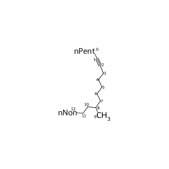 [CH2]CCCCC#CCCCCCC(C)CCCCCCCCCC[CH2]